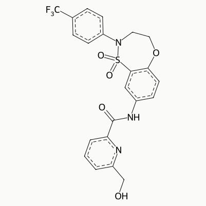 O=C(Nc1ccc2c(c1)S(=O)(=O)N(c1ccc(C(F)(F)F)cc1)CCO2)c1cccc(CO)n1